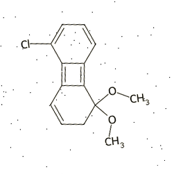 COC1(OC)CC=CC2=c3c(Cl)cccc3=C21